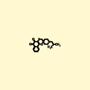 CC(C)CN1CCC2(CC1)CSC1=C(O2)c2ccccc2C(=O)C1=O